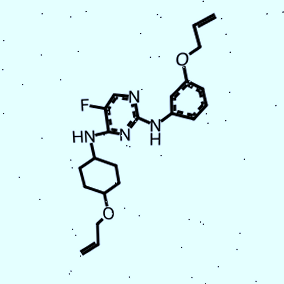 C=CCOc1cccc(Nc2ncc(F)c(NC3CCC(OCC=C)CC3)n2)c1